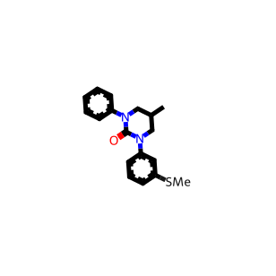 CSc1cccc(N2CC(C)CN(c3ccccc3)C2=O)c1